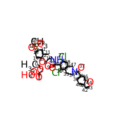 CC(OC(=O)OO)OC(=O)[C@H](Cc1cccc(S(C)(=O)=O)c1)NC(=O)c1c(Cl)cc2c(c1Cl)CCN(C(=O)c1ccc3ccoc3c1)C2